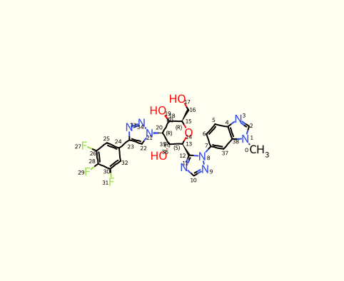 Cn1cnc2ccc(-n3ncnc3[C@@H]3O[C@H](CO)[C@H](O)[C@H](n4cc(-c5cc(F)c(F)c(F)c5)nn4)[C@H]3O)cc21